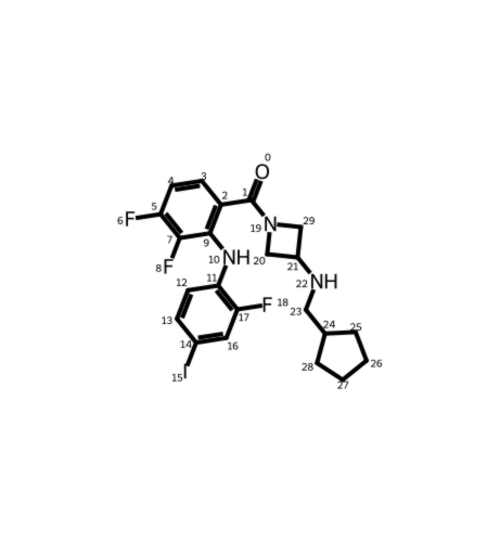 O=C(c1ccc(F)c(F)c1Nc1ccc(I)cc1F)N1CC(NCC2CCCC2)C1